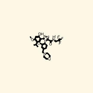 COc1cc(O)c(-c2nnc(C(=O)NCC(F)(F)F)n2-c2ccc(CN3CCOCC3)cc2Cl)cc1C(C)C